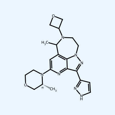 CC1c2cc(N3CCOC[C@H]3C)nc3c(-c4cc[nH]n4)nn(c23)CCN1C1COC1